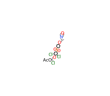 CC(=O)OC(CCl)COc1c(Cl)cc(S(=O)(=O)c2ccc(OCC(C)CN3CCOCC3)cc2)cc1Cl